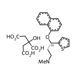 CNCC[C@H](Oc1cccc2ccccc12)c1cccs1.O=C(O)CC(O)(CC(=O)O)C(=O)O